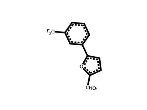 O=[C]c1ccc(-c2cccc(C(F)(F)F)c2)o1